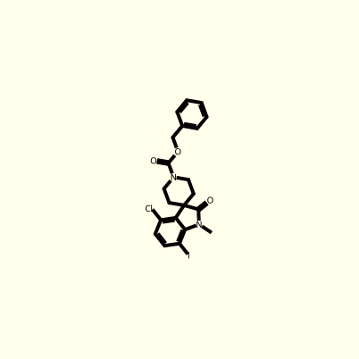 CN1C(=O)C2(CCN(C(=O)OCc3ccccc3)CC2)c2c(Cl)ccc(I)c21